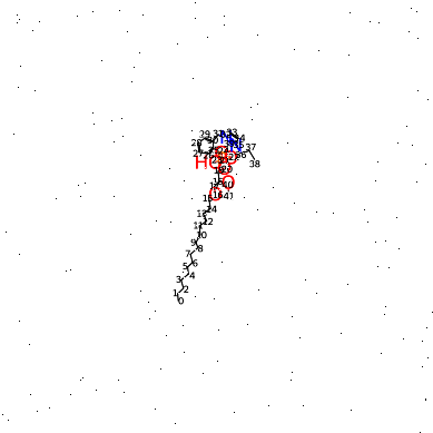 CCCCCCCCCCCCCCCCOCC(COP(=O)(O)Oc1ccccc1CN1C=CN(CCC)C1)OC